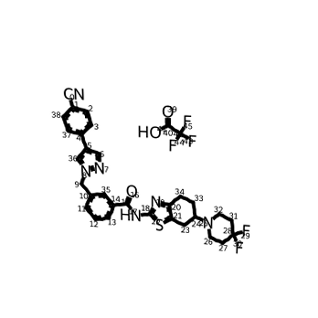 N#Cc1ccc(-c2cnn(Cc3cccc(C(=O)Nc4nc5c(s4)CC(N4CCC(F)(F)CC4)CC5)c3)c2)cc1.O=C(O)C(F)(F)F